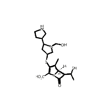 CC(O)C1C(=O)N2C(C(=O)O)=C(SC3CC(C4CCNC4)N(CO)C3)C(C)[C@@H]12